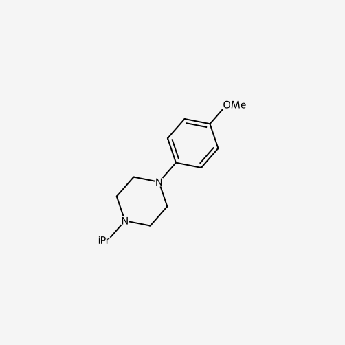 COc1ccc(N2CCN(C(C)C)CC2)cc1